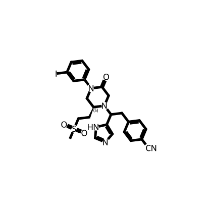 CS(=O)(=O)CC[C@H]1CN(c2cccc(I)c2)C(=O)CN1C(Cc1ccc(C#N)cc1)c1cnc[nH]1